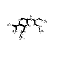 C=C(N)c1ncc(N[C@@H](CN)COC)nc1CNC